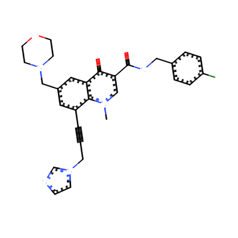 Cn1cc(C(=O)NCc2ccc(Cl)cc2)c(=O)c2cc(CN3CCOCC3)cc(C#CCn3ccnc3)c21